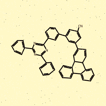 N#Cc1cc(C2=CC3c4ccccc4-c4ccccc4C3C=C2)cc(-c2cccc(-c3nc(-c4ccccc4)nc(-c4ccccc4)n3)c2)c1